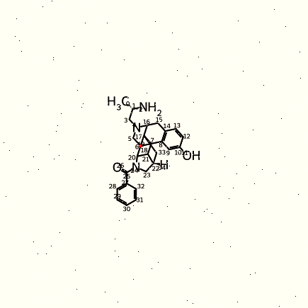 C[C@H](N)CN1CCC23c4cc(O)ccc4CC1C21CCC2C3[C@@H](CN2C(=O)c2ccccc2)C1